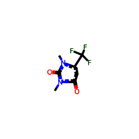 Cn1c(C(F)(F)F)cc(=O)n(C)c1=O